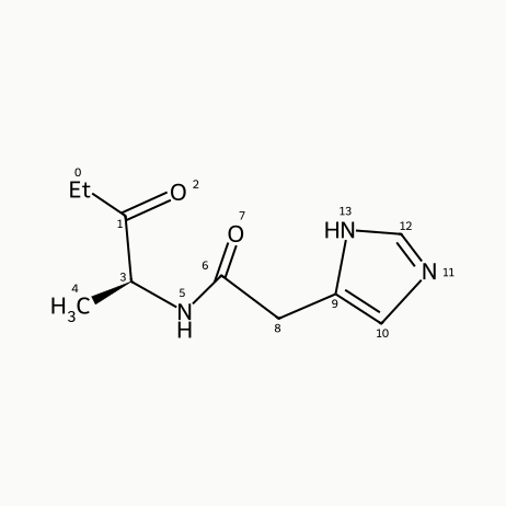 CCC(=O)[C@H](C)NC(=O)Cc1cnc[nH]1